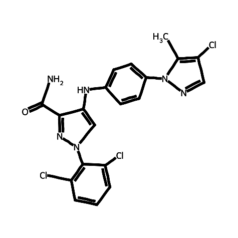 Cc1c(Cl)cnn1-c1ccc(Nc2cn(-c3c(Cl)cccc3Cl)nc2C(N)=O)cc1